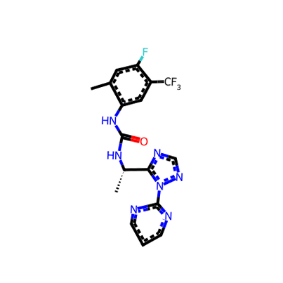 Cc1cc(F)c(C(F)(F)F)cc1NC(=O)N[C@@H](C)c1ncnn1-c1ncccn1